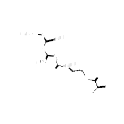 C=C(C)C(=O)OCCNC(=O)NC(=N)NC(=N)NCCCCCCC